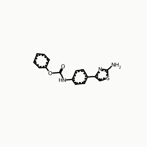 Nc1nc(-c2ccc(NC(=O)Oc3ccccc3)cc2)cs1